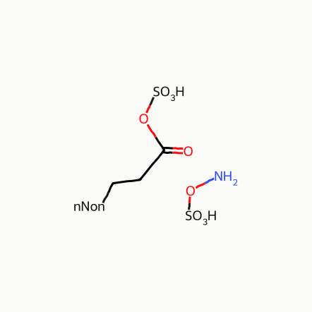 CCCCCCCCCCCC(=O)OS(=O)(=O)O.NOS(=O)(=O)O